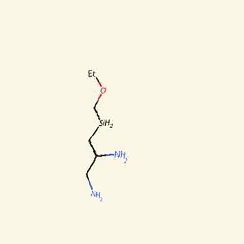 CCOC[SiH2]CC(N)CN